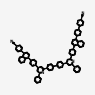 N#Cc1ccc(-c2ccc(-c3ccc(-c4ccc(-c5cc(-c6ccc(-c7ccc(-c8cc(-c9ccc(-c%10ccc(-c%11ccc(C#N)cc%11)c%11ccccc%10%11)cc9)cc(-c9ccccc9)n8)cc7)cc6)cc(-c6ccccc6)n5)cc4)c4ccccc34)cc2)cc1